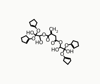 C=C(CC(=O)OC(O)C(O)(OC1=CCCC1)OC1=CCCC1)C(=O)OC(O)C(O)(OC1=CCCC1)OC1=CCCC1